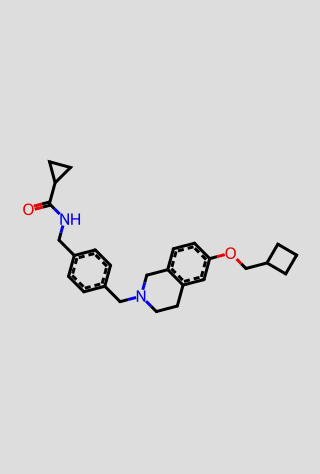 O=C(NCc1ccc(CN2CCc3cc(OCC4CCC4)ccc3C2)cc1)C1CC1